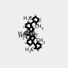 [CH2]=[Hf]([CH3])([CH3])([CH3])([CH2]C(C)C)([CH]1C=Cc2c(-c3c(C)cccc3C)cccc21)[CH]1C=Cc2c(-c3c(C)cccc3C)cccc21